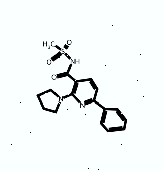 CS(=O)(=O)NC(=O)c1ccc(-c2ccccc2)nc1N1CCCC1